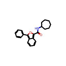 O=C(NC1CCCCCC1)c1oc(-c2ccccc2)c2ccccc12